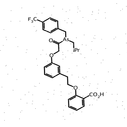 CC(C)C[As](Cc1ccc(C(F)(F)F)cc1)C(=O)COc1cccc(CCOc2ccccc2C(=O)O)c1